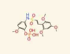 COc1cc(OC)c(/C=C/S(=O)(=O)Nc2ccc(OC)c(OP(=O)(O)O)c2)c(OC)c1